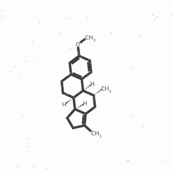 COc1ccc2c(c1)CC[C@H]1[C@@H]2[C@H](C)CC2=C(C)CC[C@H]21